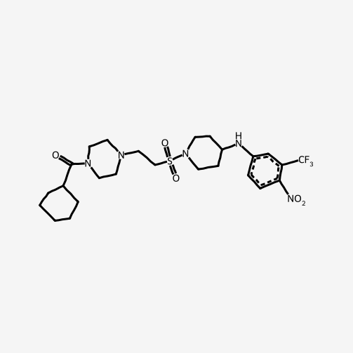 O=C(C1CCCCC1)N1CCN(CCS(=O)(=O)N2CCC(Nc3ccc([N+](=O)[O-])c(C(F)(F)F)c3)CC2)CC1